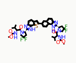 COC(=O)N[C@H](C(=O)N1CC(F)(F)C[C@H]1c1nc2ccc3cc(-c4cc5ccc6nc([C@@H]7CC(F)(F)CN7C(=O)[C@@H](NC(=O)OC)C(C)C)[nH]c6c5s4)ccc3c2[nH]1)C(C)C